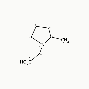 CC1CCCN1CC(=O)O